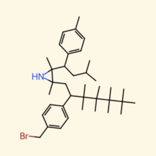 Cc1ccc(C(CC(C)C)C2(C)NC2(C)CC(c2ccc(CBr)cc2)C(C)(C)C(C)(C)C(C)(C)C(C)(C)C)cc1